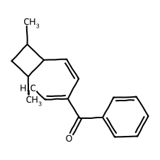 C/C=C(\C=C/C1C(C)CC1C)C(=O)c1ccccc1